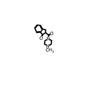 CN1CCN(C(=O)C2Cc3ccccc3C2=O)CC1